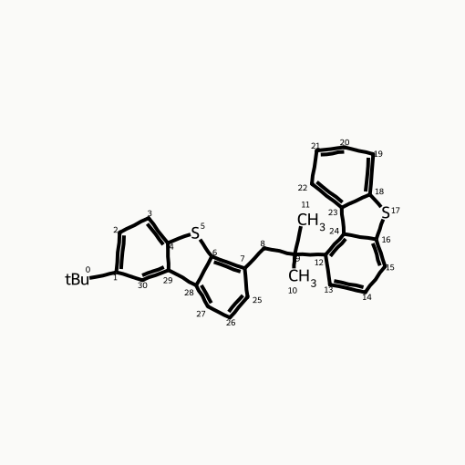 CC(C)(C)c1ccc2sc3c(CC(C)(C)c4cccc5sc6ccccc6c45)cccc3c2c1